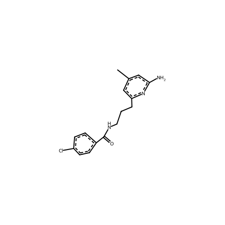 Cc1cc(N)nc(CCCNC(=O)c2ccc(Cl)cc2)c1